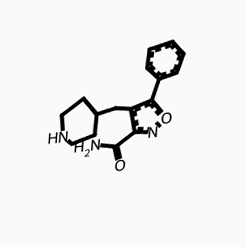 NC(=O)c1noc(-c2ccccc2)c1CC1CCNCC1